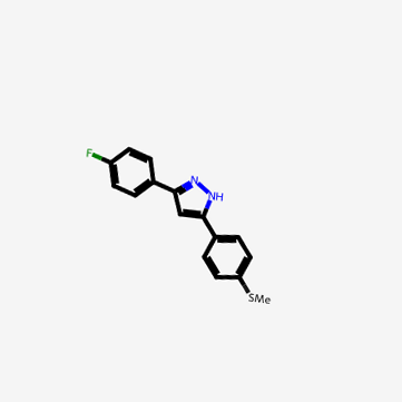 CSc1ccc(-c2cc(-c3ccc(F)cc3)n[nH]2)cc1